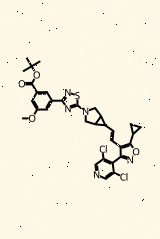 COc1cc(C(=O)OC(C)(C)C)cc(-c2nsc(N3CC4C(C=Cc5c(-c6c(Cl)cncc6Cl)noc5C5CC5)C4C3)n2)c1